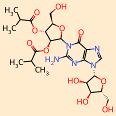 CC(C)C(=O)O[C@H]1[C@H](OC(=O)C(C)C)C(n2c(N)nc3c(ncn3[C@@H]3O[C@H](CO)[C@@H](O)[C@H]3O)c2=O)O[C@@H]1CO